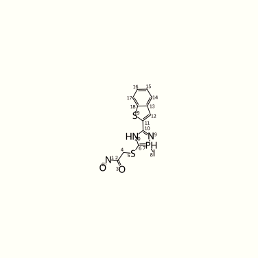 O=NC(=O)CSC1=[PH](I)N=C(c2cc3ccccc3s2)N1